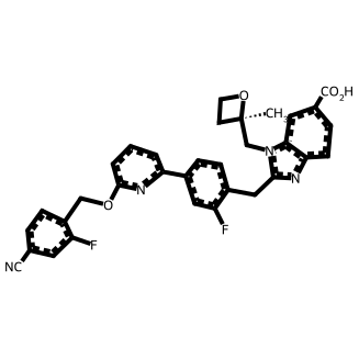 C[C@]1(Cn2c(Cc3ccc(-c4cccc(OCc5ccc(C#N)cc5F)n4)cc3F)nc3ccc(C(=O)O)cc32)CCO1